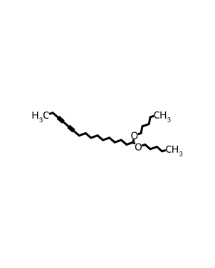 CCC#CC#CCCCCCCCCCC(OCCCCC)OCCCCC